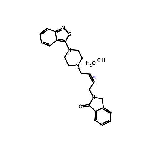 Cl.O.O=C1c2ccccc2CN1C/C=C\CN1CCN(c2snc3ccccc23)CC1